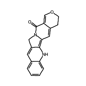 O=c1c2c(cc3n1CC1=Cc4ccccc4NC=31)CCOC=2